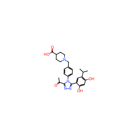 CC(=O)c1nnc(-c2cc(C(C)C)c(O)cc2O)n1-c1ccc(CN2CCC(C(=O)O)CC2)cc1